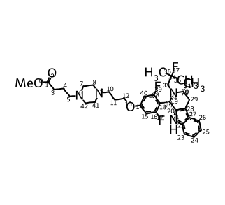 COC(=O)CCCN1CCN(CCCOc2cc(F)c([C@@H]3c4[nH]c5ccccc5c4C[C@@H](C)N3CC(C)(C)F)c(F)c2)CC1